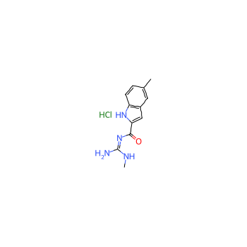 CNC(N)=NC(=O)c1cc2cc(C)ccc2[nH]1.Cl